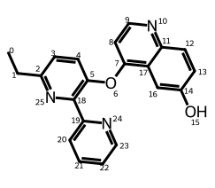 CCc1ccc(Oc2ccnc3ccc(O)cc23)c(-c2ccccn2)n1